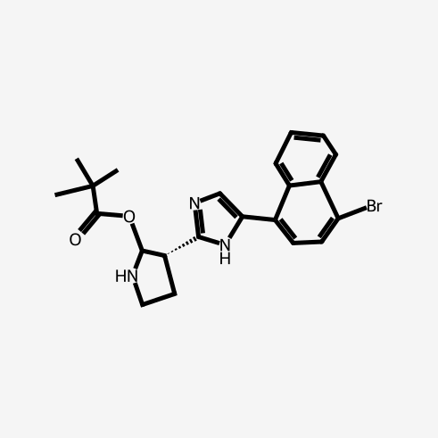 CC(C)(C)C(=O)OC1NCC[C@H]1c1ncc(-c2ccc(Br)c3ccccc23)[nH]1